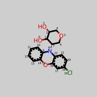 OC1[C@@H](O)COC[C@@H]1N1c2ccccc2Oc2cc(Cl)ccc21